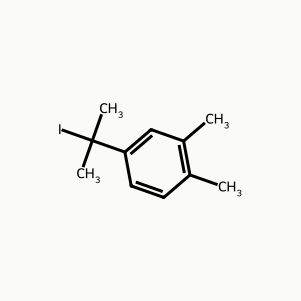 Cc1ccc(C(C)(C)I)cc1C